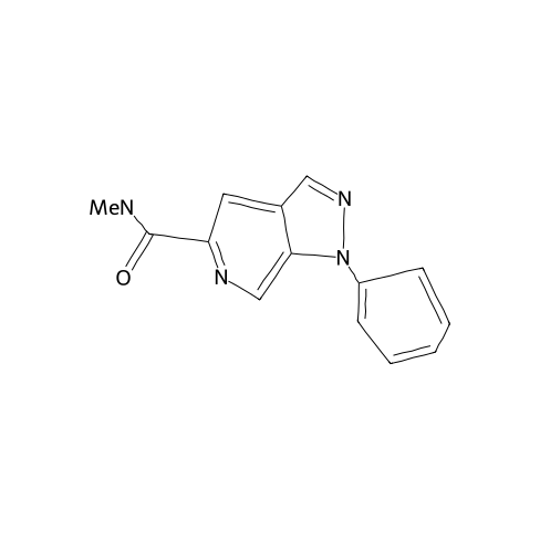 CNC(=O)c1cc2cnn(-c3ccccc3)c2cn1